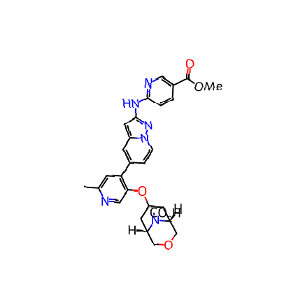 COC(=O)c1ccc(Nc2cc3cc(-c4cc(C)ncc4OC4C[C@H]5COC[C@@H](C4)N5C(=O)O)ccn3n2)nc1